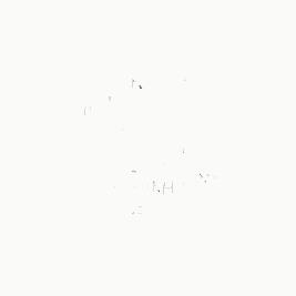 CC#CC(C)(CC)NC(=O)C(Oc1cc(C)c2ncc(Br)cc2c1)SC